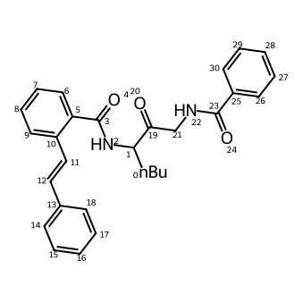 CCCCC(NC(=O)c1ccccc1C=Cc1ccccc1)C(=O)CNC(=O)c1ccccc1